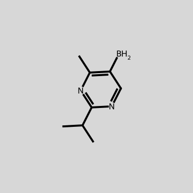 Bc1cnc(C(C)C)nc1C